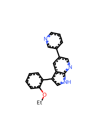 CCOc1ccccc1-c1c[nH]c2ncc(-c3cccnc3)cc12